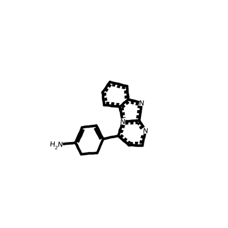 NC1=CC=C(c2ccnc3nc4ccccc4n23)CC1